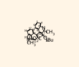 Cc1nc2ccccc2c(-c2ccc3c4c(cccc24)C[C@H]3C)c1[C@H](OC(C)(C)C)C(=O)O